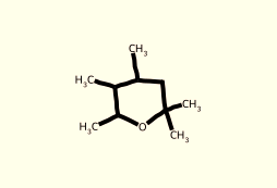 CC1CC(C)(C)OC(C)C1C